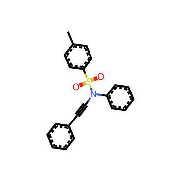 Cc1ccc(S(=O)(=O)N(C#Cc2ccccc2)c2ccccc2)cc1